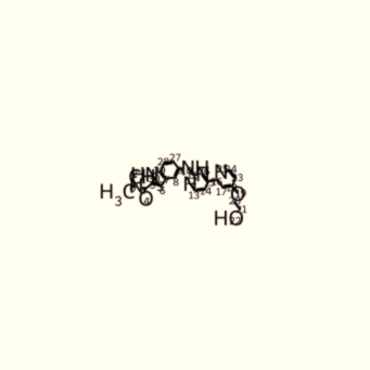 CN(C)C(=O)c1cc2cc(Nc3nccc(-c4cc(OCCO)ccn4)n3)ccc2[nH]1